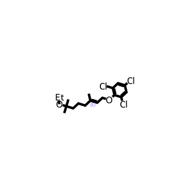 CCOC(C)(C)CCC/C(C)=C/COc1c(Cl)cc(Cl)cc1Cl